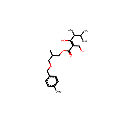 CCCCC(CCCC)C(CCCC)C(O)=C(CO)C(=O)OCC(C)COCc1ccc(OC)cc1